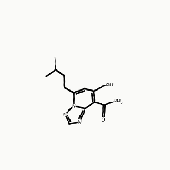 CC(C)CCc1cc(O)c(C(N)=O)c2ncnn12